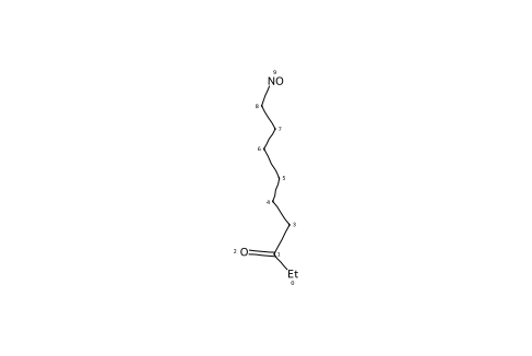 CCC(=O)CCCCCCN=O